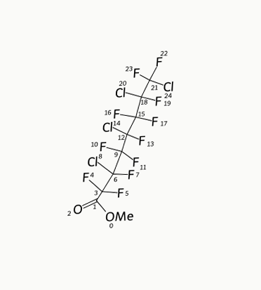 COC(=O)C(F)(F)C(F)(Cl)C(F)(F)C(F)(Cl)C(F)(F)C(F)(Cl)C(F)(F)Cl